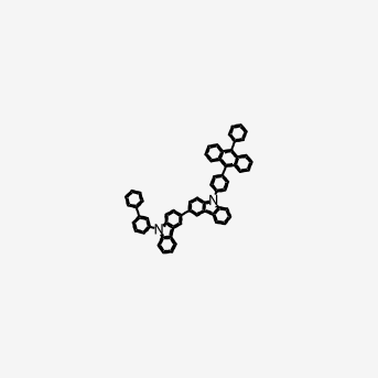 c1ccc(-c2cccc(-n3c4ccccc4c4cc(-c5ccc6c(c5)c5ccccc5n6-c5ccc(-c6c7ccccc7c(-c7ccccc7)c7ccccc67)cc5)ccc43)c2)cc1